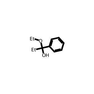 [CH2]CC(O)(OCC)c1ccccc1